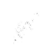 CC1C(=O)N(COCC[Si](C)(C)C)N=C2COc3ccc(N4C[C@H](C)CC[C@H]4C)cc3N21